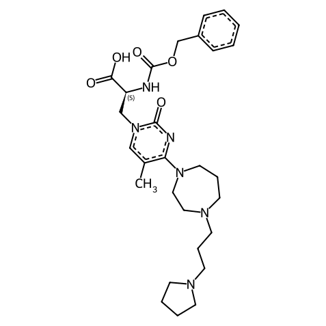 Cc1cn(C[C@H](NC(=O)OCc2ccccc2)C(=O)O)c(=O)nc1N1CCCN(CCCN2CCCC2)CC1